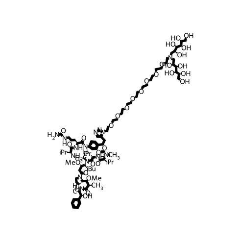 CC[C@H](C)[C@@H]([C@H](CC(=O)N1CCC[C@H]1[C@H](OC)[C@@H](C)C(=O)N[C@@H](C)[C@H](O)c1ccccc1)OC)N(C)C(=O)[C@@H](NC(=O)[C@H](C(C)C)N(C)C(=O)OC(Cc1cnnn1CCOCCOCCOCCOCCOCCOCCOCCOCCN(C[C@H](O)[C@@H](O)[C@H](O)[C@H](O)CO)C[C@H](O)[C@@H](O)[C@H](O)[C@H](O)CO)c1ccc(NC(=O)[C@H](CCCNC(N)=O)NC(=O)[C@@H](N)C(C)C)cc1)C(C)C